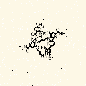 CCc1nc(C)oc1C(=O)Nc1nc2cc(C(N)=O)cc(OCCCNC)c2n1C/C=C/Cn1c2nc(-c3cc(C)nn3CC)ccc2c2nc(C(N)=O)cc(OC)c21